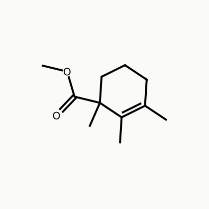 COC(=O)C1(C)CCCC(C)=C1C